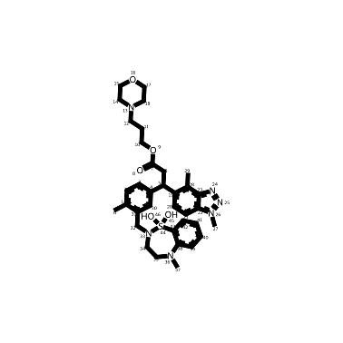 Cc1ccc(C(CC(=O)OCCCN2CCOCC2)c2ccc3c(nnn3C)c2C)cc1CN1CCN(C)c2ccccc2S1(O)O